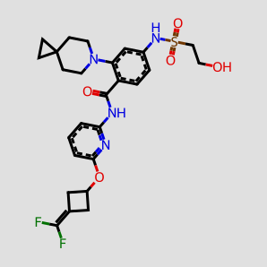 O=C(Nc1cccc(OC2CC(=C(F)F)C2)n1)c1ccc(NS(=O)(=O)CCO)cc1N1CCC2(CC1)CC2